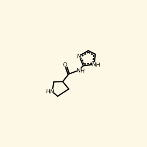 O=C(Nc1ncc[nH]1)C1CCNC1